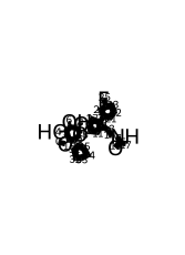 CO[C@@H]1[C@@H](O)[C@@H](O)[C@@H](Oc2ccc(CCNC(C)=O)c(-c3cccc(F)c3)c2)O[C@@H]1c1ccccc1